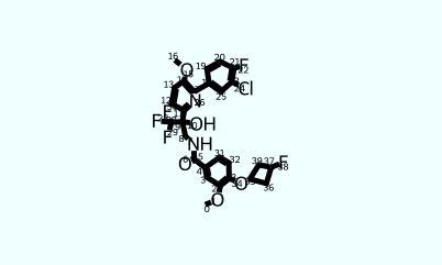 COc1cc(C(=O)NCC(O)(c2ccc(OC)c(-c3ccc(F)c(Cl)c3)n2)C(F)(F)F)ccc1OC1CC(F)C1